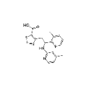 Cc1ccnc(NC(Cc2ncsc2C(=O)O)c2ncccc2C)c1